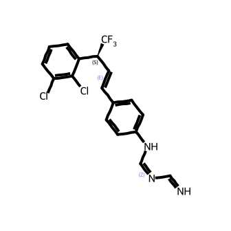 N=C/N=C\Nc1ccc(/C=C/[C@@H](c2cccc(Cl)c2Cl)C(F)(F)F)cc1